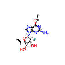 C=C[C@]12O[C@@H](n3cnc4c(OCC)nc(N)nc43)[C@H](F)[C@@]1(O)C2O